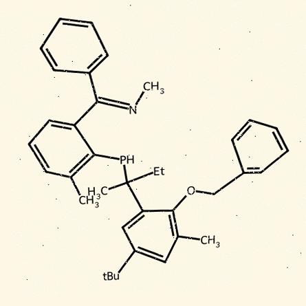 CCC(C)(Pc1c(C)cccc1/C(=N/C)c1ccccc1)c1cc(C(C)(C)C)cc(C)c1OCc1ccccc1